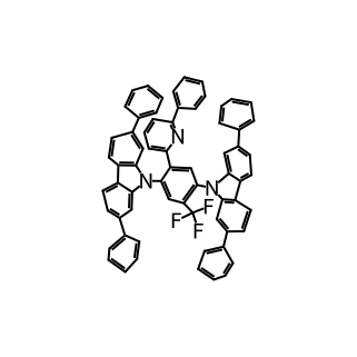 FC(F)(F)c1cc(-n2c3cc(-c4ccccc4)ccc3c3ccc(-c4ccccc4)cc32)c(-c2cccc(-c3ccccc3)n2)cc1-n1c2cc(-c3ccccc3)ccc2c2ccc(-c3ccccc3)cc21